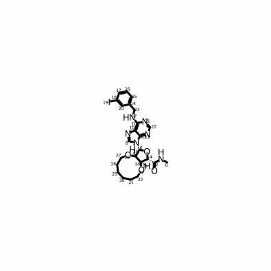 CNC(=O)[C@H]1O[C@@H](n2cnc3c(NCc4cccc(I)c4)ncnc32)[C@@H]2OCCCCCCO[C@@H]21